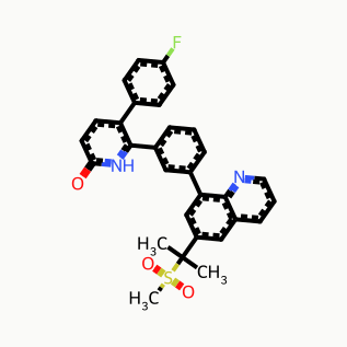 CC(C)(c1cc(-c2cccc(-c3[nH]c(=O)ccc3-c3ccc(F)cc3)c2)c2ncccc2c1)S(C)(=O)=O